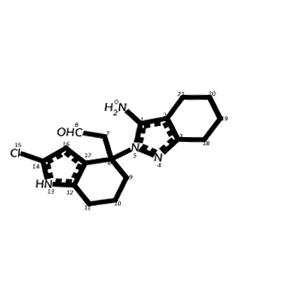 Nc1c2c(nn1C1(CC=O)CCCc3[nH]c(Cl)cc31)CCCC2